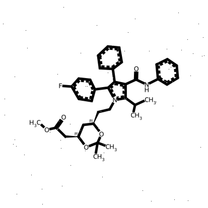 COC(=O)C[C@H]1C[C@@H](CCn2c(-c3ccc(F)cc3)c(-c3ccccc3)c(C(=O)Nc3ccccc3)c2C(C)C)OC(C)(C)O1